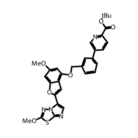 COc1cc(OCc2cccc(-c3ccc(C(=O)OC(C)(C)C)nc3)c2)c2cc(-c3cnc4sc(OC)nn34)oc2c1